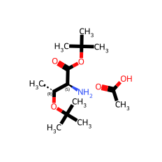 CC(=O)O.C[C@@H](OC(C)(C)C)[C@H](N)C(=O)OC(C)(C)C